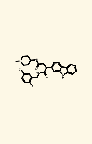 CN1CCC(NC(=O)CC(C(=O)NCc2cc(Cl)ccc2F)c2ccc3c(c2)[nH]c2ccccc23)CC1